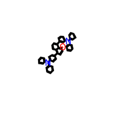 c1ccc(N(c2ccccc2)c2ccc(-c3ccc4c5c(cccc35)-c3cccc(N(c5ccccc5)c5ccccc5)c3O4)cc2)cc1